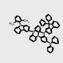 Cc1cccc(C)c1-n1c2ccccc2c2cc(N3c4ccccc4B4c5ccc(N(c6ccccc6)c6ccccc6)cc5N(c5ccc6c(c5)C(c5ccccc5)(c5ccccc5)c5ccccc5-6)c5cccc3c54)ccc21